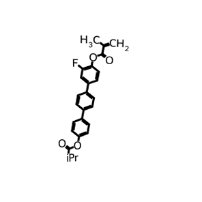 C=C(C)C(=O)Oc1ccc(-c2ccc(-c3ccc(OC(=O)C(C)C)cc3)cc2)cc1F